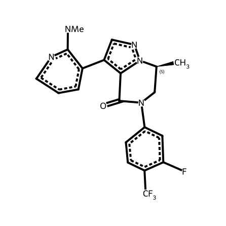 CNc1ncccc1-c1cnn2c1C(=O)N(c1ccc(C(F)(F)F)c(F)c1)C[C@@H]2C